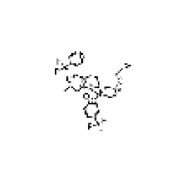 CCC[C@H]1N(C(=O)c2cnccc2C(F)(F)F)CCC[C@@]1(Oc1ccc(C(F)(F)F)cc1)C(=O)N1CC[C@@H](OCC2CC2)C1